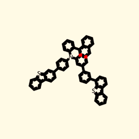 c1cc(-c2cccc(N(c3ccc(-c4ccc5c(c4)sc4ccccc45)cc3)c3ccccc3-c3cccc4ccccc34)c2)cc(-c2cccc3c2sc2ccccc23)c1